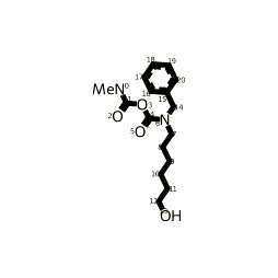 CNC(=O)OC(=O)N(CCCCCCO)Cc1ccccc1